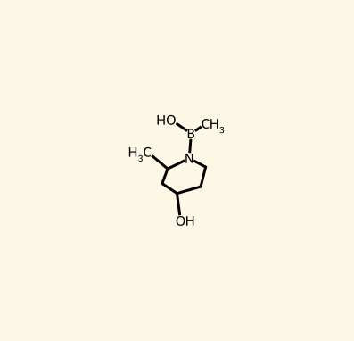 CB(O)N1CCC(O)CC1C